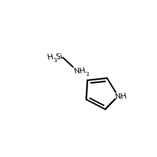 N[SiH3].c1cc[nH]c1